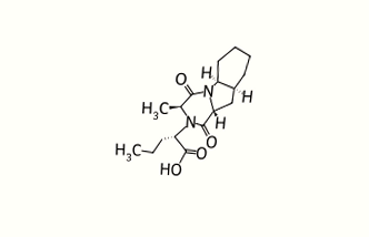 CCC[C@@H](C(=O)O)N1C(=O)[C@H]2C[C@@H]3CCCC[C@@H]3N2C(=O)[C@@H]1C